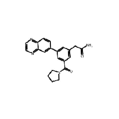 NC(=O)Cc1cc(C(=O)N2CCCC2)cc(-c2ccc3nccnc3c2)c1